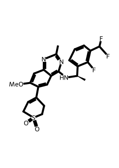 COc1cc2nc(C)nc(N[C@H](C)c3cccc(C(F)F)c3F)c2cc1C1=CCS(=O)(=O)CC1